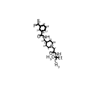 CCC(C)(C)NC(=O)CN1CCC(CNC(=O)c2cccc(C(F)F)c2)CC1